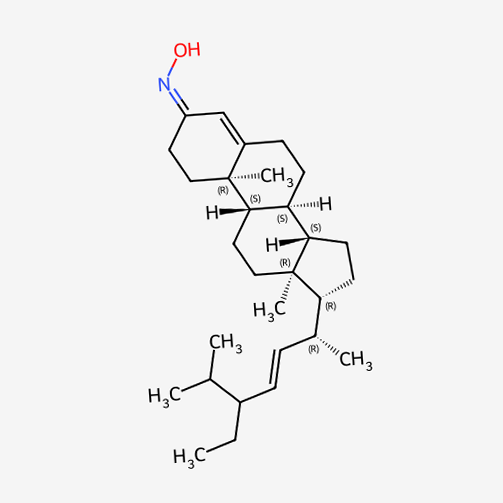 CCC(C=C[C@@H](C)[C@H]1CC[C@H]2[C@@H]3CCC4=CC(=NO)CC[C@]4(C)[C@H]3CC[C@]12C)C(C)C